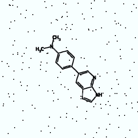 CN(C)c1ccc(-c2cnc3[nH]c[c]c3c2)cc1